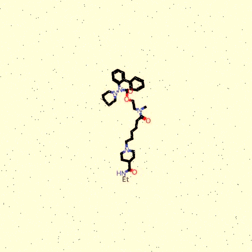 CCNC(=O)C1CCN(CCCCCC(=O)N(C)CCOC(=O)N(c2ccccc2-c2ccccc2)N2CC[CH]CC2)CC1